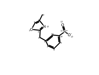 Cc1coc(Cc2cccc([N+](=O)[O-])c2)n1